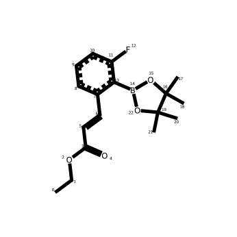 CCOC(=O)/C=C/c1cccc(F)c1B1OC(C)(C)C(C)(C)O1